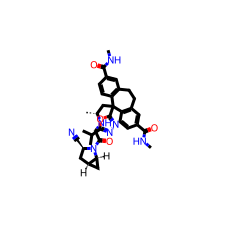 CNC(=O)c1ccc2c(c1)CCc1cc(C(=O)NC)ccc1C2(C[C@@H](C)NCC(=O)N1[C@H](C#N)C[C@@H]2C[C@@H]21)c1nnc(C(C)C)o1